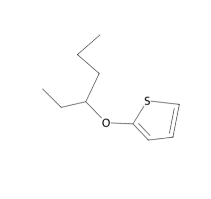 CCCC(CC)Oc1cccs1